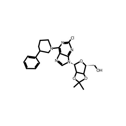 CC1(C)OC2C(O1)[C@@H](CO)O[C@H]2n1cnc2c(N3CCCC(c4ccccc4)C3)nc(Cl)nc21